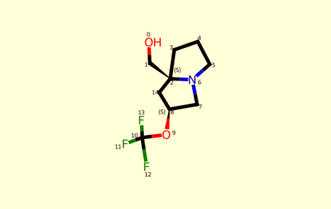 OC[C@@]12CCCN1C[C@@H](OC(F)(F)F)C2